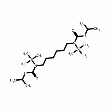 CC(C)OC(=O)N(CCCCCCN(C(=O)OC(C)C)[Si](C)(C)C)[Si](C)(C)C